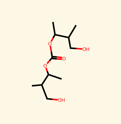 CC(CO)C(C)OC(=O)OC(C)C(C)CO